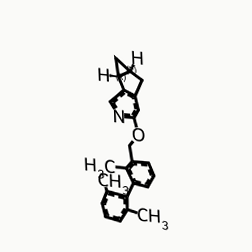 Cc1cccc(C)c1-c1cccc(COc2cc3c(cn2)[C@@H]2C[C@@H]2C3)c1C